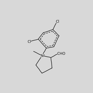 C[N+]1(c2ccc(Cl)cc2Cl)CCCC1C=O